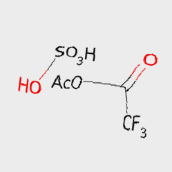 CC(=O)OC(=O)C(F)(F)F.O=S(=O)(O)O